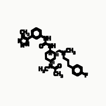 CC(=O)N(C)[C@@H]1CC[C@@H](NC(=O)Nc2cccc(-c3nnnn3C)c2)[C@H](CN(C)CCCc2ccc(F)cc2)C1